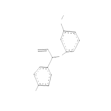 COc1cccc(SC(C=O)c2ccc(F)cc2)c1